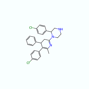 CC1=C(c2ccc(Cl)cc2)C(c2ccccc2)CC(N2CCNCC2c2ccc(Cl)cc2)=N1